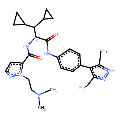 Cc1n[nH]c(C)c1-c1ccc(NC(=O)[C@@H](NC(=O)c2ccnn2CCN(C)C)C(C2CC2)C2CC2)cc1